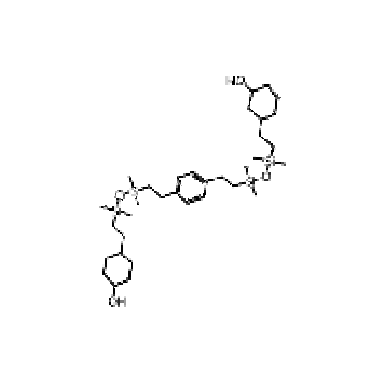 C[Si](C)(CCc1ccc(CC[Si](C)(C)O[Si](C)(C)CCC2CCCC(O)C2)cc1)O[Si](C)(C)CCC1CCC(O)CC1